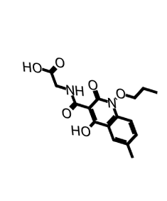 CCCOn1c(=O)c(C(=O)NCC(=O)O)c(O)c2cc(C)ccc21